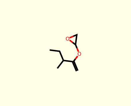 C=C(OC1CO1)C(C)CC